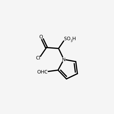 O=Cc1cccn1C(C(=O)Cl)S(=O)(=O)O